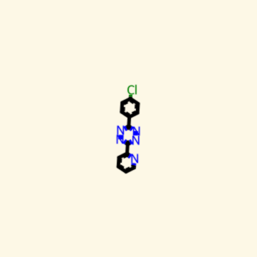 Clc1ccc(-c2nnc(-c3ccccn3)nn2)cc1